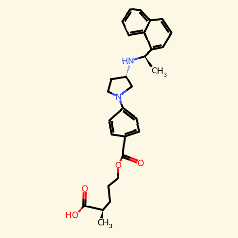 C[C@H](CCCOC(=O)c1ccc(N2CC[C@H](N[C@H](C)c3cccc4ccccc34)C2)cc1)C(=O)O